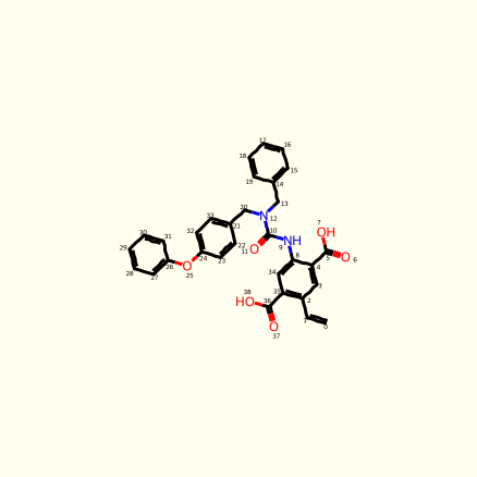 C=Cc1cc(C(=O)O)c(NC(=O)N(Cc2ccccc2)Cc2ccc(Oc3ccccc3)cc2)cc1C(=O)O